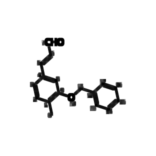 Cc1ccc(C=CC=O)cc1OCc1ccccc1